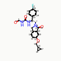 O=CNC(=O)N[C@@H](CN1Cc2ccc(OCC3CC3)cc2C1=O)c1ccc(F)cc1